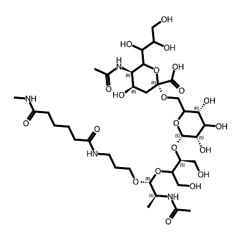 CNC(=O)CCCCC(=O)NCCCO[C@H](OC(CO)[C@H](CO)O[C@@H]1OC(CO[C@]2(C(=O)O)C[C@@H](O)[C@@H](NC(C)=O)C(C(O)C(O)CO)O2)[C@H](O)C(O)[C@@H]1O)[C@H](C)NC(C)=O